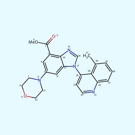 COC(=O)c1cc(N2CCOCC2)cc2c1ncn2-c1ccnc2cccc(C)c12